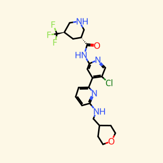 O=C(Nc1cc(-c2cccc(NCC3CCOCC3)n2)c(Cl)cn1)[C@H]1CNC[C@H](C(F)(F)F)C1